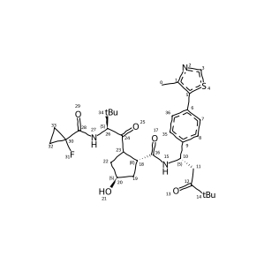 Cc1ncsc1-c1ccc([C@H](CC(=O)C(C)(C)C)NC(=O)[C@@H]2C[C@@H](O)CC2C(=O)[C@@H](NC(=O)C2(F)CC2)C(C)(C)C)cc1